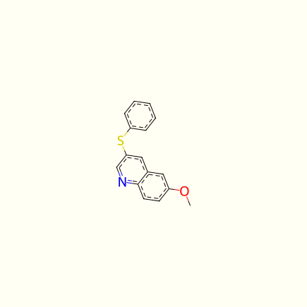 COc1ccc2ncc(Sc3ccccc3)cc2c1